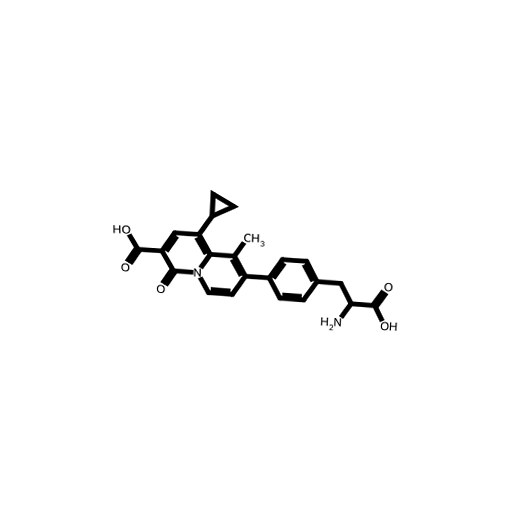 Cc1c(-c2ccc(CC(N)C(=O)O)cc2)ccn2c(=O)c(C(=O)O)cc(C3CC3)c12